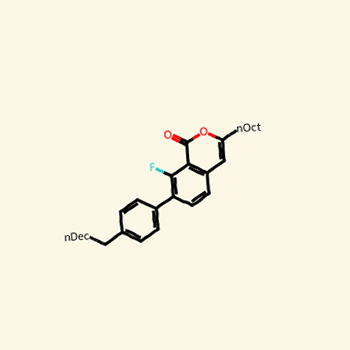 CCCCCCCCCCCc1ccc(-c2ccc3cc(CCCCCCCC)oc(=O)c3c2F)cc1